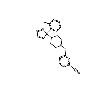 Cc1ccccc1C1(C2CCN(Cc3cccc(C#N)c3)CC2)C=NN=N1